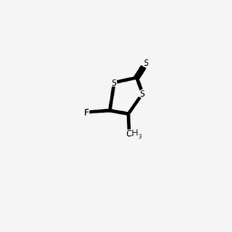 CC1SC(=S)SC1F